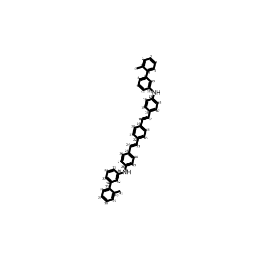 Cc1ccccc1-c1cccc(Nc2ccc(C=Cc3ccc(C=Cc4ccc(Nc5cccc(-c6ccccc6C)c5)cc4)cc3)cc2)c1